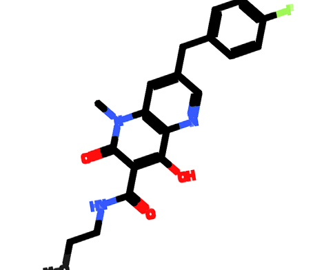 COCCNC(=O)c1c(O)c2ncc(Cc3ccc(F)cc3)cc2n(C)c1=O